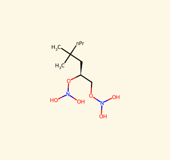 CCCC(C)(C)C[C@@H](CON(O)O)ON(O)O